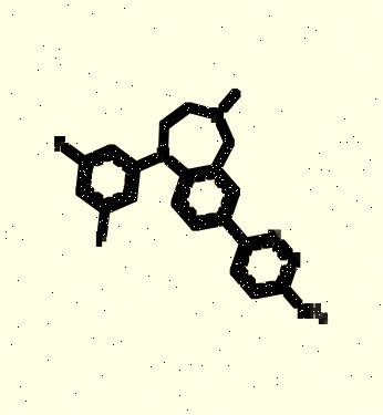 CN1CCN(c2cc(F)cc(F)c2)c2ccc(-c3ccc(N)nn3)cc2C1